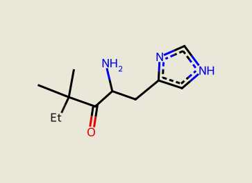 CCC(C)(C)C(=O)C(N)Cc1c[nH]cn1